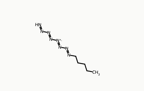 CCCCCN=NN=[N+]N=NN=N